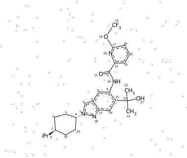 CC(C)[C@H]1CC[C@H](n2cc3cc(NC(=O)c4cccc(OC(F)(F)F)n4)c(C(C)(C)O)cc3n2)CC1